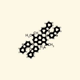 CC(C)c1cc(N(c2ccc3sc4ccccc4c3c2)c2cccc3c2oc2ccccc23)c2ccc3c(C(C)C)cc(N(c4ccc5sc6ccccc6c5c4)c4cccc5c4sc4ccccc45)c4ccc1c2c34